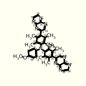 COc1ccc(N(c2c(C)c(C)c(-c3cnc4nccnc4n3)c(C)c2C)c2c(C)c(C)c(-c3cnc4nccnc4n3)c(C)c2C)cc1